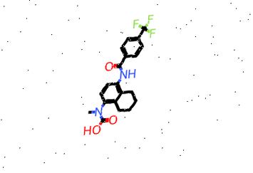 CN(C(=O)O)c1ccc(NC(=O)c2ccc(C(F)(F)F)cc2)c2c1CCCC2